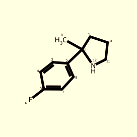 CC1(c2ccc(F)cc2)CCCN1